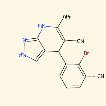 CCCC1=C(C#N)C(c2cccc(C#N)c2Br)c2c[nH]nc2N1